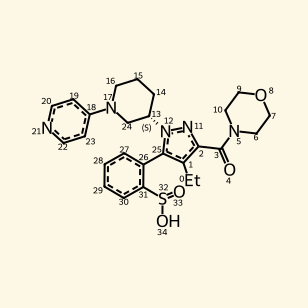 CCc1c(C(=O)N2CCOCC2)nn([C@H]2CCCN(c3ccncc3)C2)c1-c1ccccc1S(=O)O